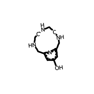 Oc1cc2nc(c1)CNCCNCCNC2